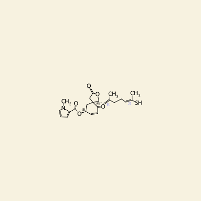 C/C(S)=C\CC/C(C)=C/[C@H]1OC(=O)CC12C[C@H](OC(=O)c1cccn1C)C=CC2=O